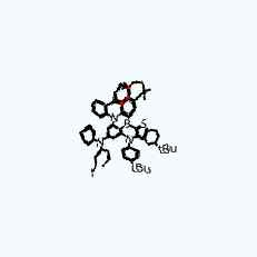 C/C=C\C(=C/CI)N(c1ccccc1)c1cc2c3c(c1)N(c1ccc(C(C)(C)C)cc1)c1c(sc4c1C=C(C(C)(C)C)CC4)B3c1cc3c(cc1N2c1ccccc1-c1ccccc1)C(C)(C)CCC3(C)C